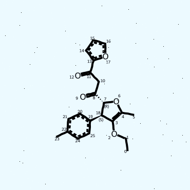 CCOC1=C(C)O[C@@H](C(=O)CC(=O)c2ccco2)[C@@H]1c1ccc(C)cc1